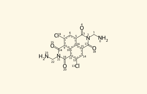 NCN1C(=O)c2cc(Cl)c3c4c(c(Cl)cc(c24)C1=O)C(=O)N(CN)C3=O